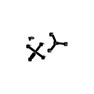 O=P([O-])([O-])[O-].[Cl][Ce]([Cl])[Cl].[Y+3]